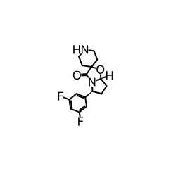 O=C1N2[C@@H](CC[C@H]2c2cc(F)cc(F)c2)OC12CCNCC2